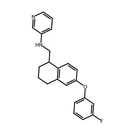 Fc1cccc(Oc2ccc3c(c2)CCCC3CNc2cccnc2)c1